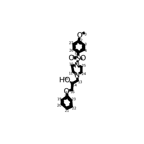 COc1ccc(S(=O)(=O)N2CCN(C[C@H](O)COc3ccccc3)CC2)cc1